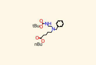 CCCCOC(=O)CCCCN(CCNC(=O)OC(C)(C)C)Cc1ccccc1